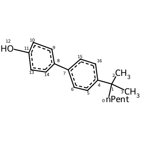 CCCCCC(C)(C)c1ccc(-c2ccc(O)cc2)cc1